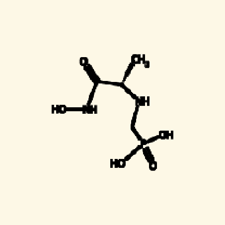 C[C@H](NCP(=O)(O)O)C(=O)NO